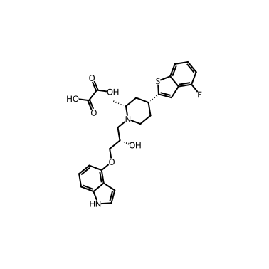 C[C@@H]1C[C@H](c2cc3c(F)cccc3s2)CCN1C[C@H](O)COc1cccc2[nH]ccc12.O=C(O)C(=O)O